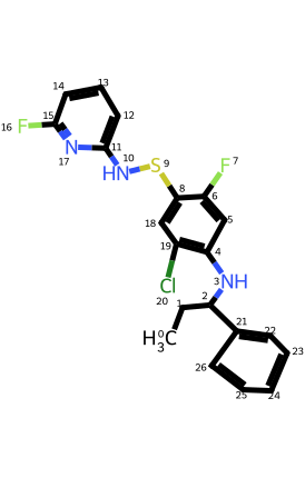 CCC(Nc1cc(F)c(SNc2cccc(F)n2)cc1Cl)c1ccccc1